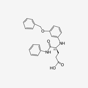 O=C(O)CC[C@H](Nc1cccc(OCc2ccccc2)c1)C(=O)Nc1ccccc1